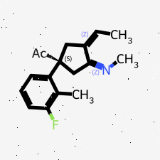 C/C=C1/C[C@@](C(C)=O)(c2cccc(F)c2C)C/C1=N/C